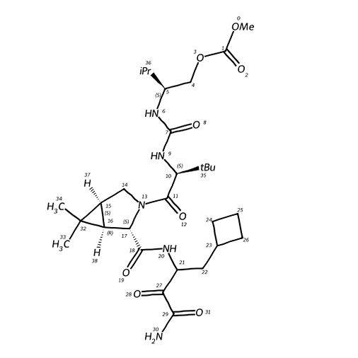 COC(=O)OC[C@@H](NC(=O)N[C@H](C(=O)N1C[C@H]2[C@@H]([C@H]1C(=O)NC(CC1CCC1)C(=O)C(N)=O)C2(C)C)C(C)(C)C)C(C)C